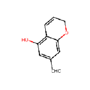 O=Cc1cc(O)c2c(c1)OCC=C2